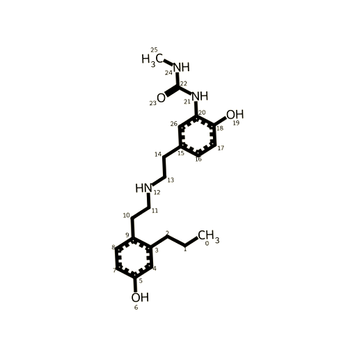 CCCc1cc(O)ccc1CCNCCc1ccc(O)c(NC(=O)NC)c1